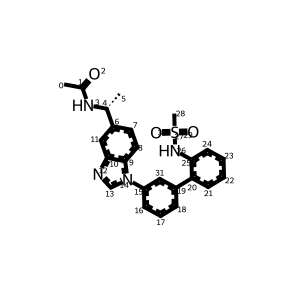 CC(=O)N[C@H](C)c1ccc2c(c1)ncn2-c1cccc(-c2ccccc2NS(C)(=O)=O)c1